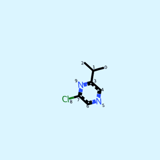 CC(C)c1cncc(Cl)n1